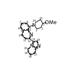 COC1CCN(c2cccc3ccc(-c4cnc5ccccn45)nc23)CC1